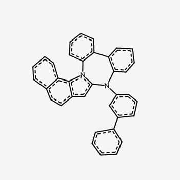 c1ccc(-c2cccc(N3c4ccccc4-c4ccccc4-n4c3cc3ccc5ccccc5c34)c2)cc1